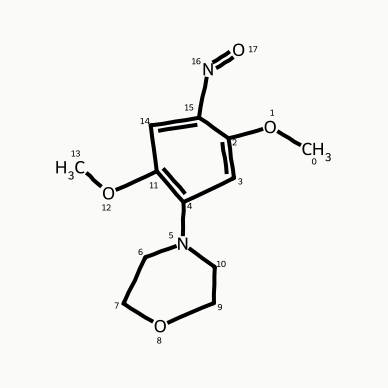 COc1cc(N2CCOCC2)c(OC)cc1N=O